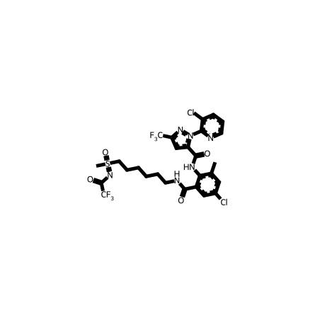 Cc1cc(Cl)cc(C(=O)NCCCCCCS(C)(=O)=NC(=O)C(F)(F)F)c1NC(=O)c1cc(C(F)(F)F)nn1-c1ncccc1Cl